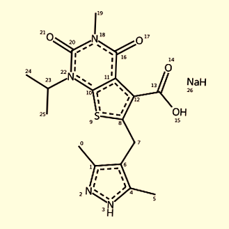 Cc1n[nH]c(C)c1Cc1sc2c(c1C(=O)O)c(=O)n(C)c(=O)n2C(C)C.[NaH]